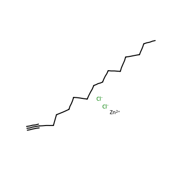 C#CCCCCCCCCCCCCC.[Cl-].[Cl-].[Zn+2]